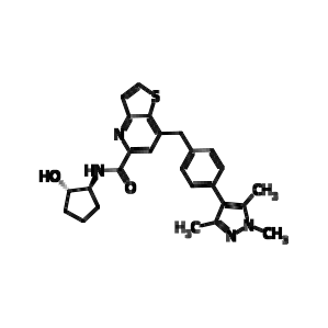 Cc1nn(C)c(C)c1-c1ccc(Cc2cc(C(=O)N[C@H]3CCC[C@@H]3O)nc3ccsc23)cc1